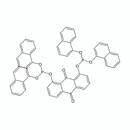 O=C1c2cccc(OP(Oc3cccc4ccccc34)Oc3cccc4ccccc34)c2C(=O)c2c(OP(Oc3cccc4ccccc34)Oc3cccc4ccccc34)cccc21